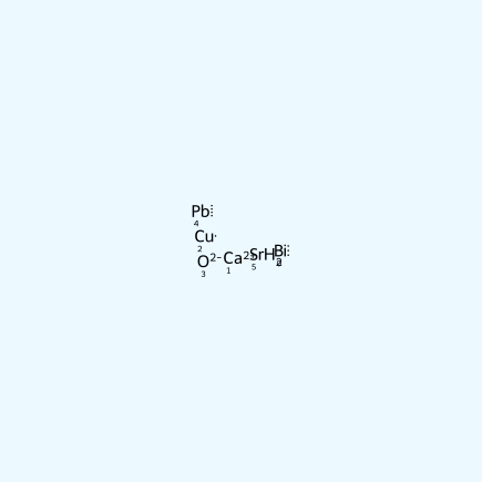 [Bi].[Ca+2].[Cu].[O-2].[Pb].[SrH2]